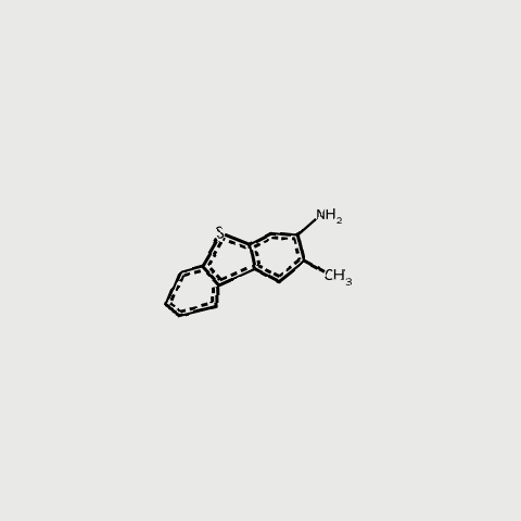 Cc1cc2c(cc1N)sc1ccccc12